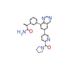 C=C(C(N)=O)c1cccc(-c2cc(-c3ccc(C(=O)N4CCCC4)nc3)cc3cncnc23)c1